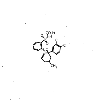 CC1CC=CC(C)(c2ccc(Cl)c(Cl)c2)C1.O=C(O)NS(=O)(=O)c1ccccc1